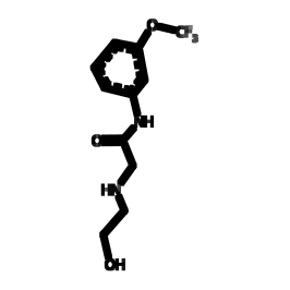 O=C(CNCCO)Nc1cccc(OC(F)(F)F)c1